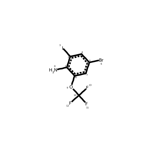 Nc1c(I)cc(Br)cc1OC(F)(F)F